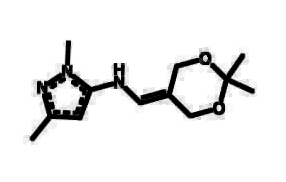 Cc1cc(NC=C2COC(C)(C)OC2)n(C)n1